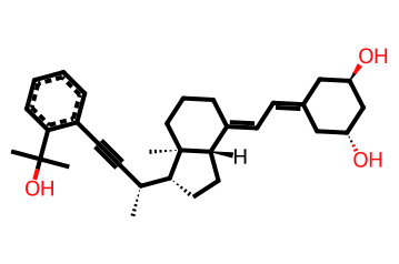 C[C@H](C#Cc1ccccc1C(C)(C)O)[C@H]1CC[C@H]2/C(=C/C=C3C[C@@H](O)C[C@H](O)C3)CCC[C@]12C